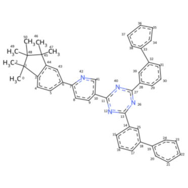 CC1(C)c2ccc(-c3ccc(-c4nc(-c5cccc(-c6ccccc6)c5)nc(-c5cccc(-c6ccccc6)c5)n4)cn3)cc2C(C)(C)C1(C)C